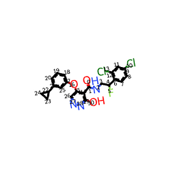 O=C(NCC(F)c1ccc(Cl)cc1Cl)c1c(Oc2cccc(C3CC3)c2)cnnc1O